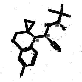 CC(C)(C)[S@+]([O-])N[C@H](C#N)[C@@H]1c2ccc(F)cc2OCC12CC2